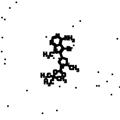 C[C@H]1CC(c2c(Br)c3c(N)ncnc3n2C)CN1C(=O)OC(C)(C)C